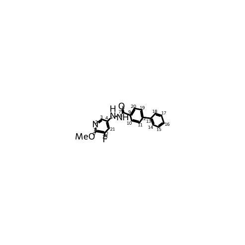 COc1ncc(NNC(=O)c2ccc(-c3ccccc3)cc2)cc1F